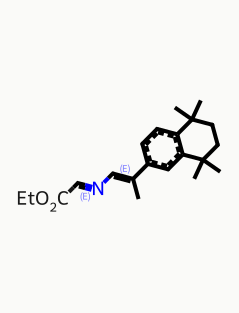 CCOC(=O)/C=N/C=C(\C)c1ccc2c(c1)C(C)(C)CCC2(C)C